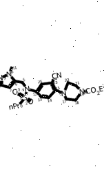 CCCS(=O)(=O)N(Cc1ccnn1C)c1ccc(N2CCN(C(=O)OCC)CC2)c(C#N)c1